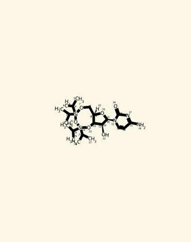 CC(C)[Si]1(C(C)C)OC[C@H]2O[C@@H](n3ccc(N)nc3=O)[C@@H](O)C2O[Si](C(C)C)(C(C)C)O1